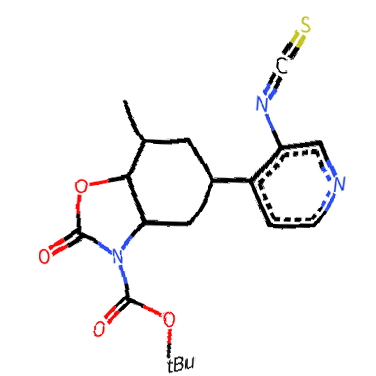 CC1CC(c2ccncc2N=C=S)CC2C1OC(=O)N2C(=O)OC(C)(C)C